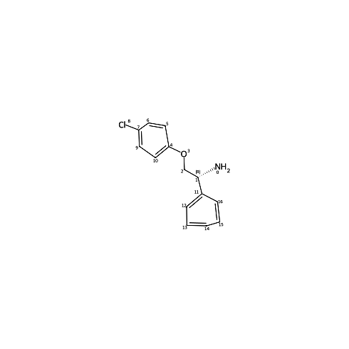 N[C@@H](COc1ccc(Cl)cc1)c1ccccc1